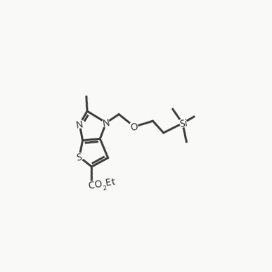 CCOC(=O)c1cc2c(nc(C)n2COCC[Si](C)(C)C)s1